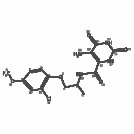 CC(COc1ccc(OC(F)(F)F)cc1Cl)NC(=O)c1[nH]c(=O)[nH]c(=O)c1N